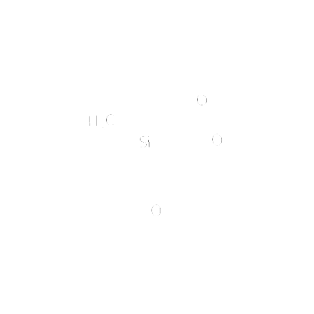 C[Si](C=O)(C=O)C=O